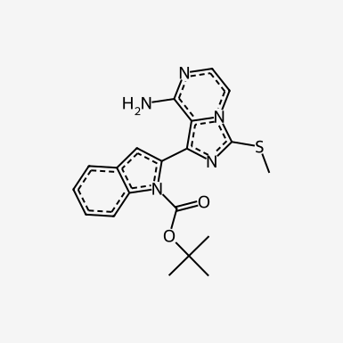 CSc1nc(-c2cc3ccccc3n2C(=O)OC(C)(C)C)c2c(N)nccn12